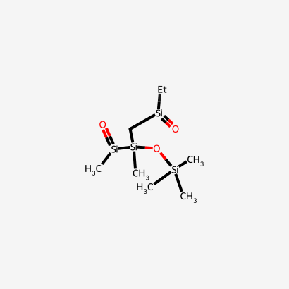 CC[Si](=O)C[Si](C)(O[Si](C)(C)C)[Si](C)=O